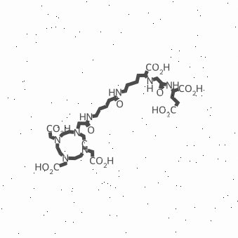 O=C(O)CCC(NC(=O)CNC(CCCCNC(=O)CCCCNC(=O)CN1CCN(CC(=O)O)CCN(CC(=O)O)CCN(CC(=O)O)CC1)C(=O)O)C(=O)O